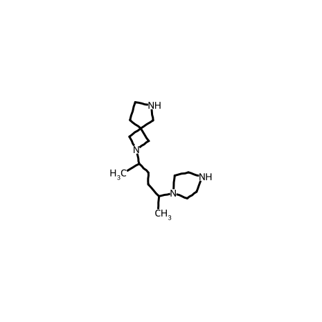 CC(CCC(C)N1CC2(CCNC2)C1)N1CCNCC1